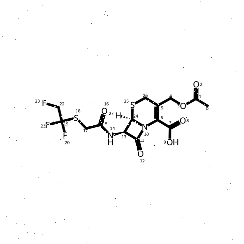 CC(=O)OCC1=C(C(=O)O)N2C(=O)[C@@H](NC(=O)CSC(F)(F)CF)[C@H]2SC1